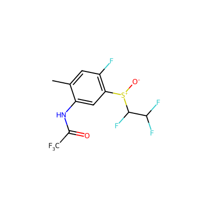 Cc1cc(F)c([S+]([O-])C(F)C(F)F)cc1NC(=O)C(F)(F)F